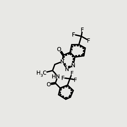 CC(Cn1nnc2ccc(C(F)(F)F)cc2c1=O)NC(=O)c1ccccc1C(F)(F)F